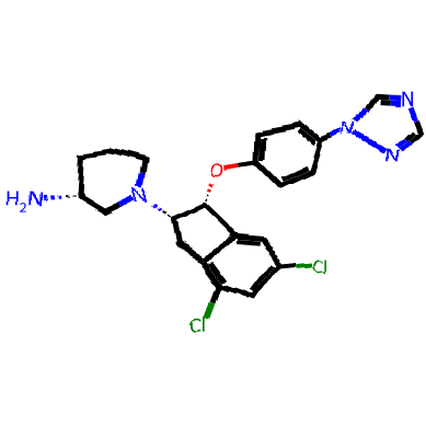 N[C@@H]1CCCN([C@H]2Cc3c(Cl)cc(Cl)cc3[C@H]2Oc2ccc(-n3cncn3)cc2)C1